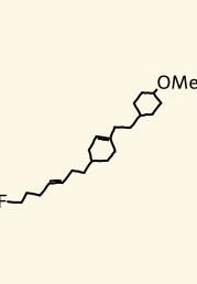 COC1CCC(CCC2=CCC(CCC=CCCCF)CC2)CC1